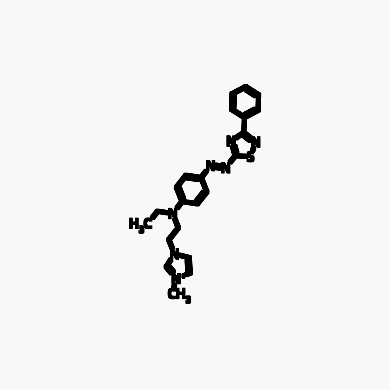 CCN(CCn1cc[n+](C)c1)c1ccc(N=Nc2nc(-c3ccccc3)ns2)cc1